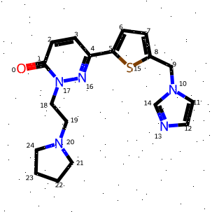 O=c1ccc(-c2ccc(Cn3ccnc3)s2)nn1CCN1CCCC1